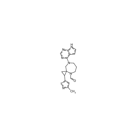 Cc1cc(C2CC23CN(c2ncnc4[nH]ccc24)CCCN3C=O)sn1